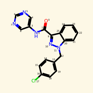 O=C(Nc1cncnc1)c1nn(Cc2ccc(Cl)cc2)c2ccccc12